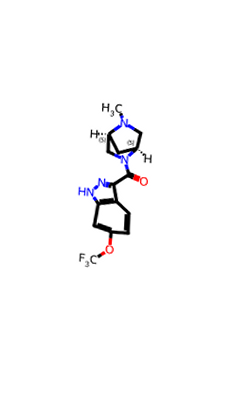 CN1C[C@@H]2C[C@H]1CN2C(=O)c1n[nH]c2cc(OC(F)(F)F)ccc12